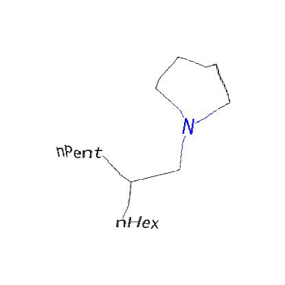 CCCCCCC(CCCCC)CN1CCCC1